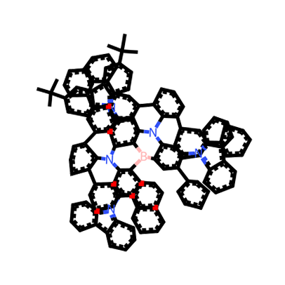 CC(C)(C)c1ccc2c(c1)c1cc(C(C)(C)C)ccc1n2-c1cc2c3c(c1)N(c1c(-c4cccc(-c5ccccc5)c4)cccc1-c1cccc(-c4ccccc4)c1)c1cc(-n4c5ccccc5c5ccccc54)c(-c4ccccc4)cc1B3c1cc(-c3ccccc3)c(-n3c4ccccc4c4ccccc43)cc1N2c1c(-c2cccc(-c3ccccc3)c2)cccc1-c1cccc(-c2ccccc2)c1